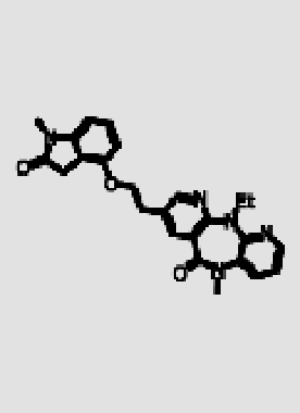 CCN1c2ncc(CCOc3cccc4c3CC(=O)N4C)cc2C(=O)N(C)c2cccnc21